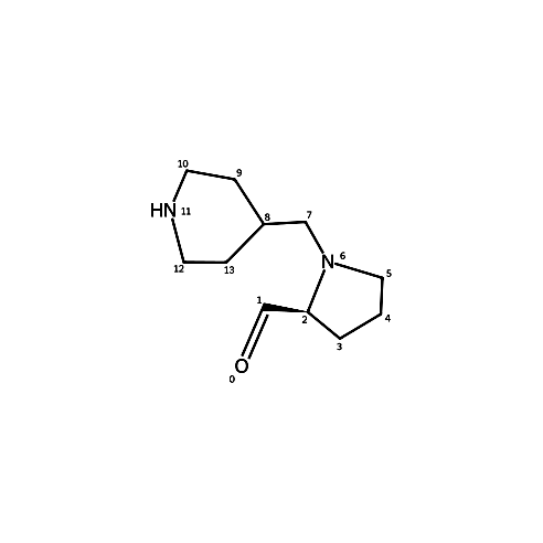 O=C[C@@H]1CCCN1CC1CCNCC1